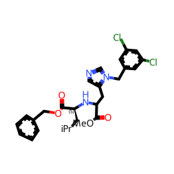 COC(=O)C(Cc1cncn1Cc1cc(Cl)cc(Cl)c1)N[C@@H](CC(C)C)C(=O)OCc1ccccc1